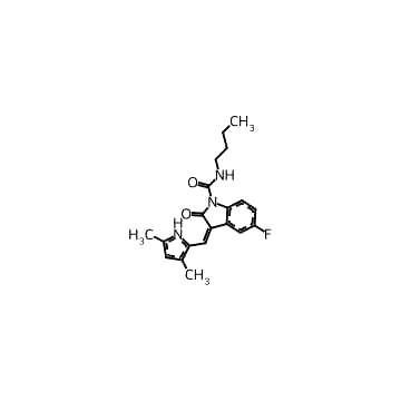 CCCCNC(=O)N1C(=O)C(=Cc2[nH]c(C)cc2C)c2cc(F)ccc21